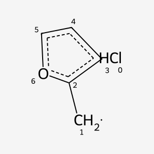 Cl.[CH2]c1ccco1